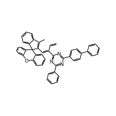 C=C/C(=C\C1=C(C)c2ccccc2C12c1ccccc1Oc1ccccc12)c1nc(-c2ccccc2)nc(-c2ccc(-c3ccccc3)cc2)n1